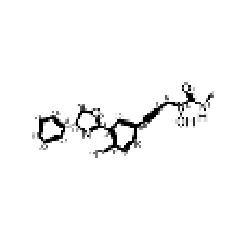 CNC(=O)N(O)CC#Cc1ccc(F)c(C2=N[C@H](c3ccccc3)CO2)c1